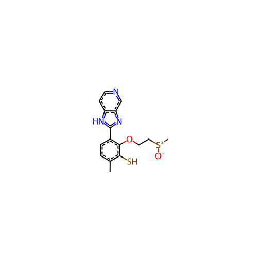 Cc1ccc(-c2nc3cnccc3[nH]2)c(OCC[S+](C)[O-])c1S